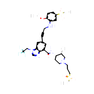 COc1ccc(S(C)(=O)=O)cc1NCC#Cc1cc(C(=O)N[C@H]2CCN(CCCS(C)(=O)=O)C[C@@H]2C)c2ncn(CC(F)(F)F)c2c1